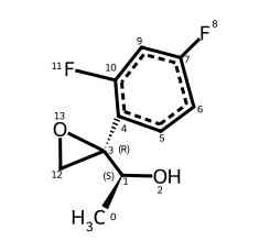 C[C@H](O)[C@@]1(c2ccc(F)cc2F)CO1